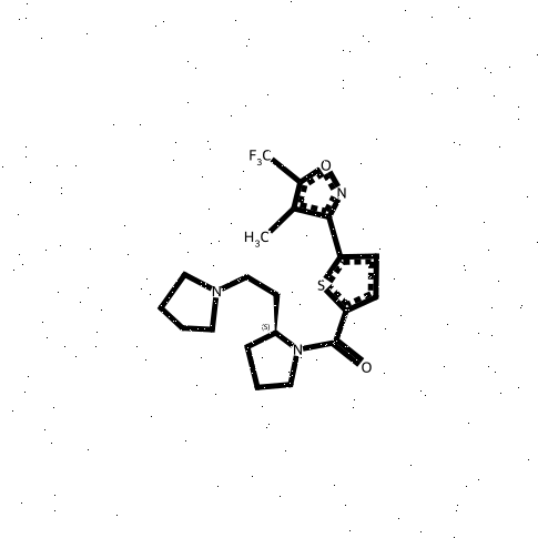 Cc1c(-c2ccc(C(=O)N3CCC[C@H]3CCN3CCCC3)s2)noc1C(F)(F)F